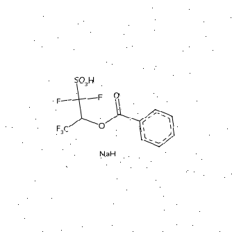 O=C(OC(C(F)(F)F)C(F)(F)S(=O)(=O)O)c1ccccc1.[NaH]